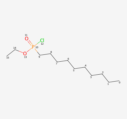 CCCCCCCCCCP(=O)(Cl)OCC